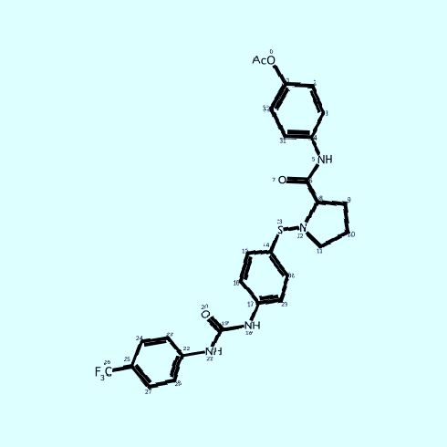 CC(=O)Oc1ccc(NC(=O)C2CCCN2Sc2ccc(NC(=O)Nc3ccc(C(F)(F)F)cc3)cc2)cc1